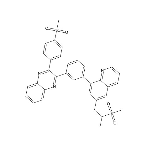 CC(Cc1cc(-c2cccc(-c3nc4ccccc4nc3-c3ccc(S(C)(=O)=O)cc3)c2)c2ncccc2c1)S(C)(=O)=O